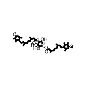 COc1cc(C)c(C=CC(C)=CC=CC(C)=CC(=O)OC[C@H]2O[C@H](O)[C@H](OC(=O)C=C(C)C=CC=C(C)C=Cc3c(C)cc(OC)c(C)c3C)[C@@H](O)[C@@H]2O)c(C)c1C